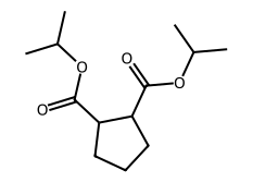 CC(C)OC(=O)C1CCCC1C(=O)OC(C)C